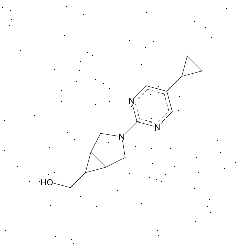 OCC1C2CN(c3ncc(C4CC4)cn3)CC12